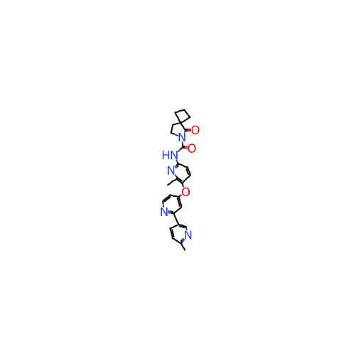 Cc1ccc(-c2cc(Oc3ccc(NC(=O)N4CCC5(CCC5)C4=O)nc3C)ccn2)cn1